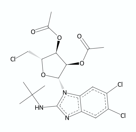 CC(=O)O[C@@H]1[C@H](OC(C)=O)[C@@H](CCl)O[C@H]1n1c(NC(C)(C)C)nc2cc(Cl)c(Cl)cc21